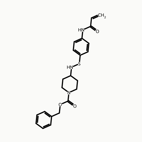 C=CC(=O)Nc1ccc(SNC2CCN(C(=O)OCc3ccccc3)CC2)cc1